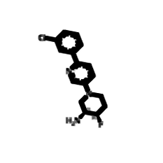 N[C@H]1CN(c2ccc(-c3cccc(Cl)c3)nc2)CC[C@H]1F